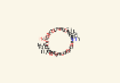 CC1(C)CCC(C)(C)OCCOCCOCCOCC(O)COC(C)(C)CCC(C)(C)C(=O)COCCOCCOCCOCCN1